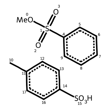 COS(=O)(=O)c1ccccc1.Cc1ccc(S(=O)(=O)O)cc1